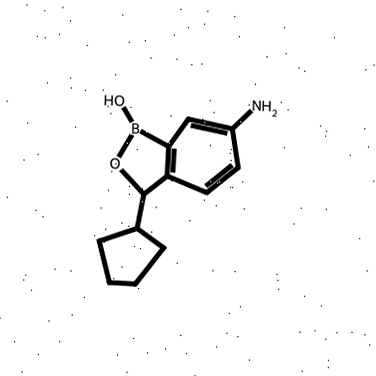 Nc1ccc2c(c1)B(O)OC2C1CCCC1